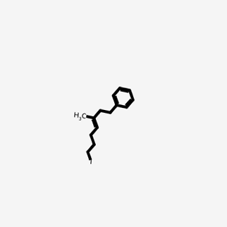 CC(=CCCCI)CCc1ccccc1